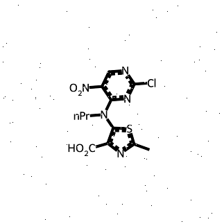 CCCN(c1nc(Cl)ncc1[N+](=O)[O-])c1sc(C)nc1C(=O)O